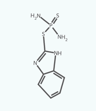 NP(N)(=S)Sc1nc2ccccc2[nH]1